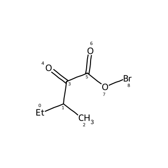 CCC(C)C(=O)C(=O)OBr